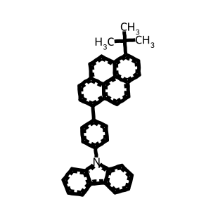 CC(C)(C)c1ccc2ccc3c(-c4ccc(-n5c6ccccc6c6ccccc65)cc4)ccc4ccc1c2c43